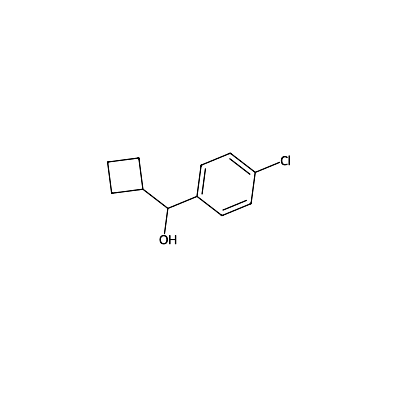 OC(c1ccc(Cl)cc1)C1CCC1